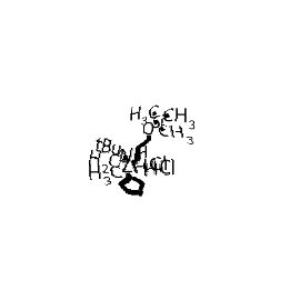 Cl.Cl.[CH2]=[Zr]([CH3])([CH2]CCO[Si](C)(C)C)([NH]C(C)(C)C)[C]1=CC=CC1